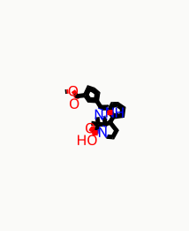 COC(=O)c1cccc(-c2c[nH]c(C3(C(C)(C)C)C(c4ccccc4)CCCN3C(=O)O)n2)c1